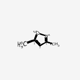 CC1=[C]C(C)=[N+]O1